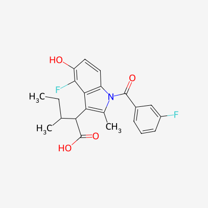 CCC(C)C(C(=O)O)c1c(C)n(C(=O)c2cccc(F)c2)c2ccc(O)c(F)c12